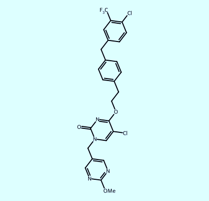 COc1ncc(Cn2cc(Cl)c(OCCc3ccc(Cc4ccc(Cl)c(C(F)(F)F)c4)cc3)nc2=O)cn1